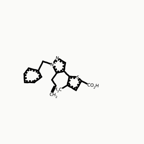 C=CCc1c(-c2sc(C(=O)O)cc2C)cnn1Cc1ccccc1